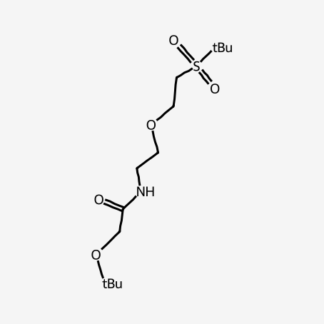 CC(C)(C)OCC(=O)NCCOCCS(=O)(=O)C(C)(C)C